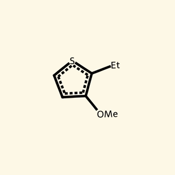 CCc1sccc1OC